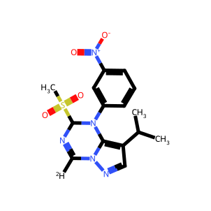 [2H]C1=NC(S(C)(=O)=O)N(c2cccc([N+](=O)[O-])c2)c2c(C(C)C)cnn21